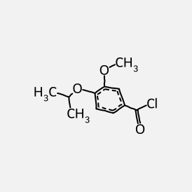 COc1cc(C(=O)Cl)ccc1OC(C)C